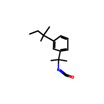 CCC(C)(C)c1cccc(C(C)(C)N=C=O)c1